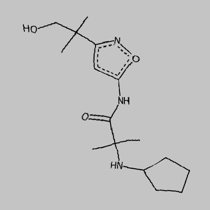 CC(C)(NC1CCCC1)C(=O)Nc1cc(C(C)(C)CO)no1